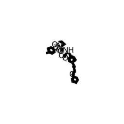 Cc1ccc(S(=O)(=O)N2CCC[C@H]2C(=O)N[C@@H](Cc2ccc(C#CCOc3ccccc3)cc2)C(=O)O)cc1